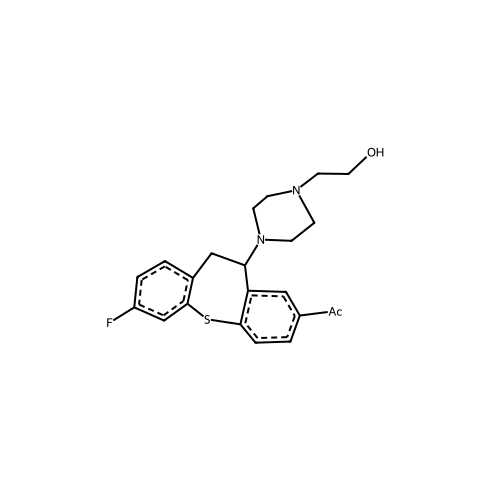 CC(=O)c1ccc2c(c1)C(N1CCN(CCO)CC1)Cc1ccc(F)cc1S2